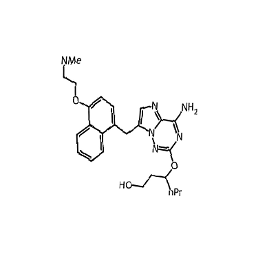 CCCC(CCO)Oc1nc(N)c2ncc(Cc3ccc(OCCNC)c4ccccc34)n2n1